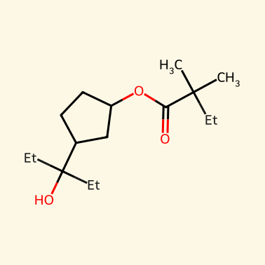 CCC(C)(C)C(=O)OC1CCC(C(O)(CC)CC)C1